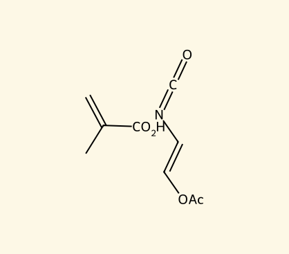 C=C(C)C(=O)O.CC(=O)OC=CN=C=O